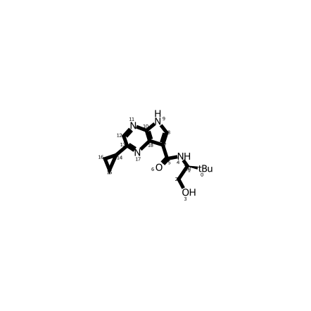 CC(C)(C)[C@@H](CO)NC(=O)c1c[nH]c2ncc(C3CC3)nc12